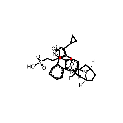 O=CN(CCS(=O)(=O)O)c1ccc(N2[C@@H]3CC[C@H]2C[C@H](OCc2c(-c4ccccc4OC(F)(F)F)noc2C2CC2)C3)nc1